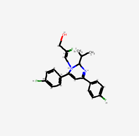 CC(C)C1N=C(c2ccc(F)cc2)C=C(c2ccc(F)cc2)N1C=C(F)CO